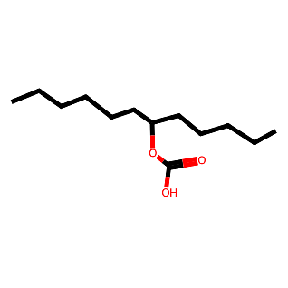 CCCCCCC(CCCCC)OC(=O)O